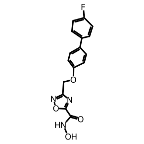 O=C(NO)c1nc(COc2ccc(-c3ccc(F)cc3)cc2)no1